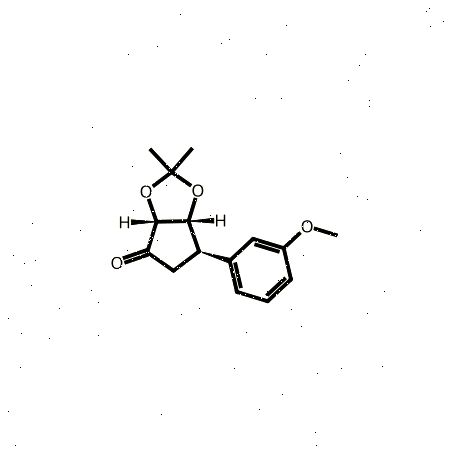 COc1cccc([C@H]2CC(=O)[C@@H]3OC(C)(C)O[C@H]23)c1